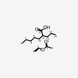 C=COC(C)=O.CCCCCC(CCC)C(=O)O